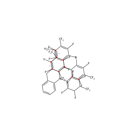 C/C=C\C=C(\Cc1ccccc1N(C1=C(F)C(F)C(C(F)(F)F)C(F)=C1F)c1c(F)c(F)c(C(F)(F)F)c(F)c1F)C(N(c1c(F)c(F)c(C(F)(F)F)c(F)c1F)c1c(F)c(F)c(C(F)(F)F)c(F)c1F)C(F)(F)F